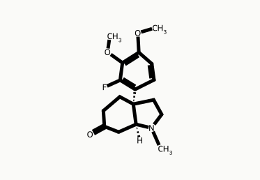 COc1ccc([C@@]23CCC(=O)C[C@@H]2N(C)CC3)c(F)c1OC